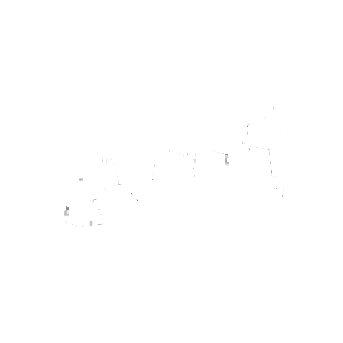 N#CC1CCCN1C(=O)CN1CCC(Nc2cccc3ncccc23)CC1